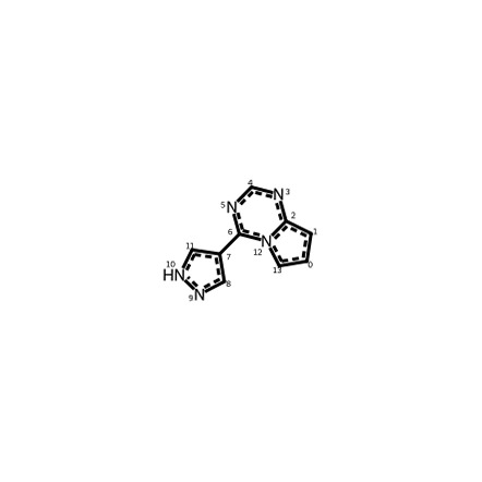 c1cc2ncnc(-c3cn[nH]c3)n2c1